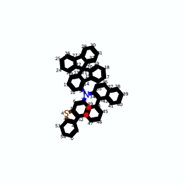 C1=Cc2c(sc3cc(N(c4cccc5c4-c4ccccc4C54c5ccccc5-c5ccccc54)c4ccc5ccccc5c4-c4ccccc4)ccc23)CC1